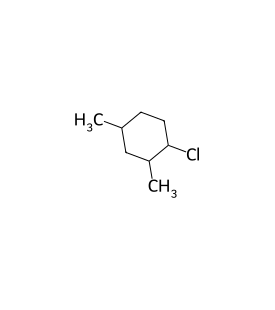 CC1CCC(Cl)C(C)C1